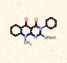 CCCCCc1nc2c(c(=O)c3ccccc3n2C)c(=O)n1-c1ccccc1